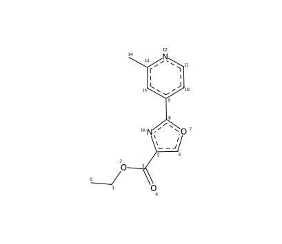 CCOC(=O)c1coc(-c2ccnc(C)c2)n1